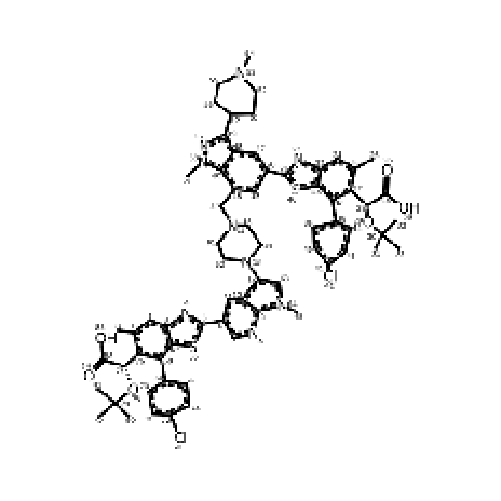 Cc1cc2nc(-c3cnc4c(c3)c(N3CCN(Cc5cc(-c6nc7cc(C)c([C@H](OC(C)(C)C)C(=O)O)c(-c8ccc(Cl)cc8)c7s6)cc6c(C7CCN(C)CC7)nn(C)c56)CC3)cn4C)sc2c(-c2ccc(Cl)cc2)c1[C@H](OC(C)(C)C)C(=O)O